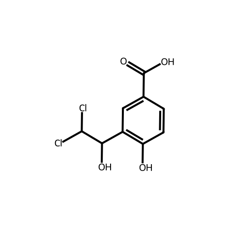 O=C(O)c1ccc(O)c(C(O)C(Cl)Cl)c1